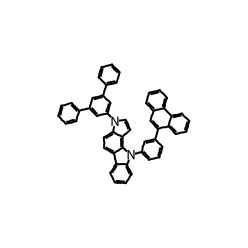 c1ccc(-c2cc(-c3ccccc3)cc(-n3ccc4c3ccc3c5ccccc5n(-c5cccc(-c6cc7ccccc7c7ccccc67)c5)c34)c2)cc1